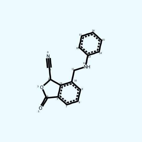 N#CC1OC(=O)c2cccc(CNc3ccccc3)c21